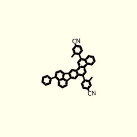 Cc1cc(C#N)ccc1-c1cc2c3cc4c(cc3c(-c3ccc(C#N)cc3C)cc2c2ccccc12)-c1cccc2c(-c3ccccc3)ccc-4c12